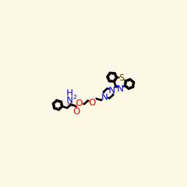 N[C@@H](Cc1ccccc1)C(=O)OCCOCCN1CCN(C2=Nc3ccccc3Sc3ccccc32)CC1